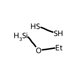 CCO[SiH3].SS